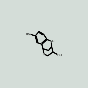 CC(C)(C)c1ccc2c(c1)C1CC(N2)C(O)CO1